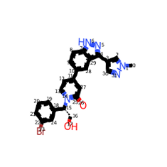 Cn1cc(-c2n[nH]c3ccc(-c4ccn([C@H](CO)c5cccc(Br)c5)c(=O)c4)cc23)cn1